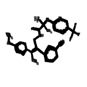 COc1ccc(C(C)C(CNC(=O)C(C)(C)Oc2ccc(C(F)(F)F)cn2)c2cccc(C#N)c2)cc1